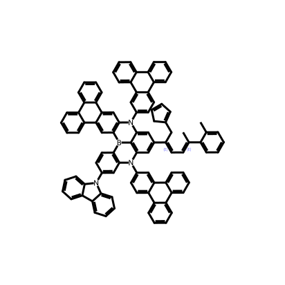 C/C(=C\C=C(/CC1=CC=CC1)c1cc2c3c(c1)N(c1ccc4c5ccccc5c5ccccc5c4c1)c1cc4c5ccccc5c5ccccc5c4cc1B3c1ccc(-n3c4ccccc4c4ccccc43)cc1N2c1ccc2c3ccccc3c3ccccc3c2c1)c1ccccc1C